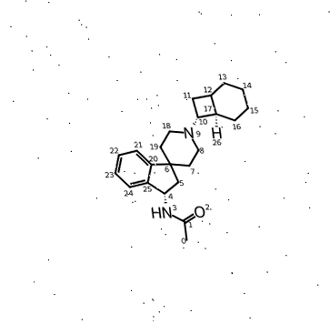 CC(=O)N[C@H]1CC2(CCN([C@@H]3CC4CCCC[C@H]43)CC2)c2ccccc21